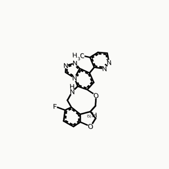 Cc1ccnnc1-c1cc2c(n3cnnc13)NCc1c(F)ccc3c1[C@@H](CO3)CO2